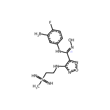 Bc1cc(N/C(=N\O)c2nonc2NCCS(C)(=N)=N)ccc1F